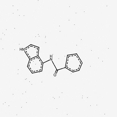 O=C(Nc1cccc2[nH]ccc12)c1ccccc1